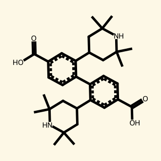 CC1(C)CC(c2cc(C(=O)O)ccc2-c2ccc(C(=O)O)cc2C2CC(C)(C)NC(C)(C)C2)CC(C)(C)N1